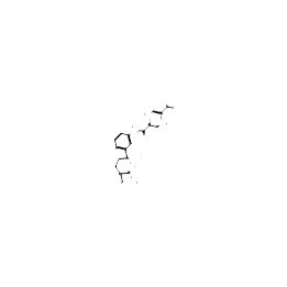 C[C@@]1(c2cc(NC(=O)c3cnc(C(F)F)cn3)ccc2F)CC[C@@](F)(CF)C(N)=N1